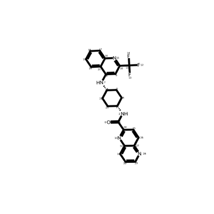 O=C(N[C@H]1CC[C@@H](Nc2cc(C(F)(F)F)nc3ccccc23)CC1)c1ccc2ncccc2n1